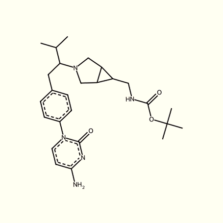 CC(C)C(Cc1ccc(-n2ccc(N)nc2=O)cc1)N1CC2C(CNC(=O)OC(C)(C)C)C2C1